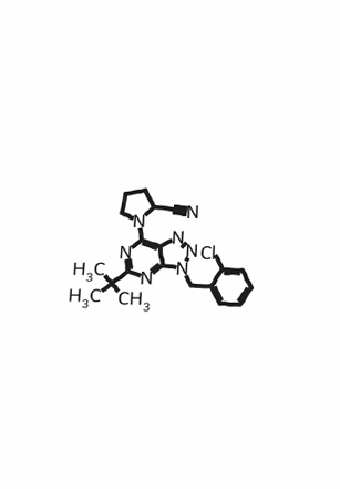 CC(C)(C)c1nc(N2CCCC2C#N)c2nnn(Cc3ccccc3Cl)c2n1